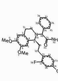 COc1cc2c(cc1OC)[C@H](CCc1ccc(C(F)(F)F)cc1F)N(C(C(N)=O)c1ccccc1)CC2